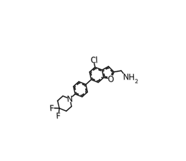 NCc1cc2c(Cl)cc(-c3ccc(N4CCC(F)(F)CC4)cc3)cc2o1